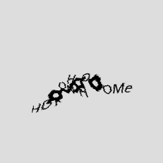 COc1ccc(OC2C[C@@H]3CN(CC(=O)c4ccc(O)c(F)c4)C[C@@H]3C2)cc1